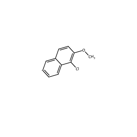 COc1ccc2c[c]ccc2c1Cl